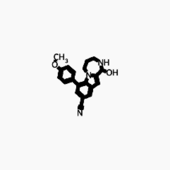 COc1ccc(-c2cc(C#N)cc3cc4n(c23)CCCNC4O)cc1